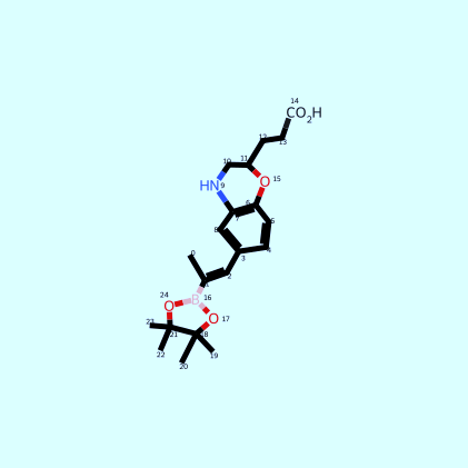 CC(=Cc1ccc2c(c1)NCC(CCC(=O)O)O2)B1OC(C)(C)C(C)(C)O1